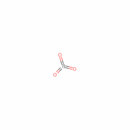 [O]=[Tl](=[O])=[O]